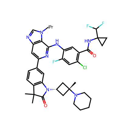 CC(C)n1cnc2cc(-c3ccc4c(c3)N([C@H]3C[C@@](C)(N5CCCCC5)C3)C(=O)C4(C)C)nc(Nc3cc(C(=O)NC4(C(F)F)CC4)c(Cl)cc3F)c21